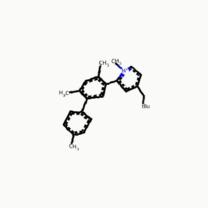 Cc1ccc(-c2cc(-c3cc(CC(C)(C)C)cc[n+]3C)c(C)cc2C)cc1